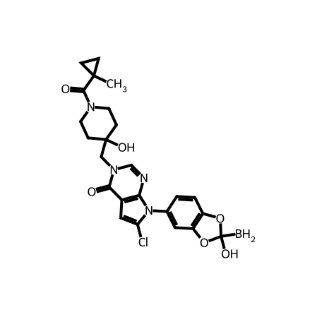 BC1(O)Oc2ccc(-n3c(Cl)cc4c(=O)n(CC5(O)CCN(C(=O)C6(C)CC6)CC5)cnc43)cc2O1